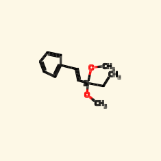 CC[Si](C=Cc1ccccc1)(OC)OC